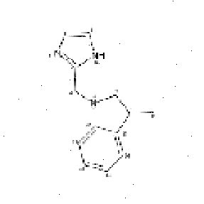 CC1CN(Cc2ncc[nH]2)c2ccccc21